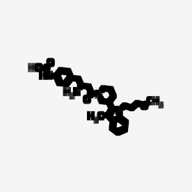 COCCCn1c(C2CCCN(C(=O)CC(N)Cc3ccc(NC(=O)O)cc3)C2)c(C)c2ccccc21